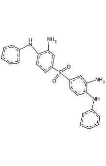 Nc1cc(S(=O)(=O)c2ccc(Nc3ccccc3)c(N)c2)ccc1Nc1ccccc1